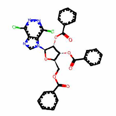 O=C(OC[C@H]1O[C@@H](n2cnc3c(Cl)nnc(Cl)c32)[C@H](OC(=O)c2ccccc2)[C@@H]1OC(=O)c1ccccc1)c1ccccc1